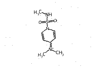 CNS(=O)(=O)n1ccc(=[N+](C)C)cc1